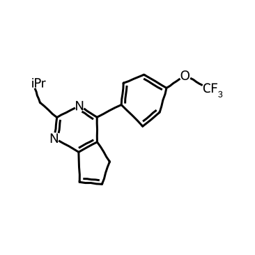 CC(C)Cc1nc2c(c(-c3ccc(OC(F)(F)F)cc3)n1)CC=C2